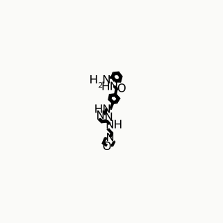 Nc1ccccc1NC(=O)c1ccc(CNc2nccc(NCCN3CCOCC3)n2)cc1